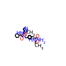 CCC(=O)N[C@H](Cc1ccc(CNC(=O)[C@@H](NC(=O)c2ccnn2C)C2CCCCC2)cc1)C(N)=O